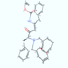 CC(C)(C)OC(=O)N/C(=C\C(=O)[C@H](Cc1ccccc1)N(Cc1ccccc1)Cc1ccccc1)Cc1ccccc1